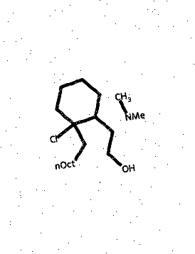 CCCCCCCCCC1(Cl)CCCCC1CCO.CNC